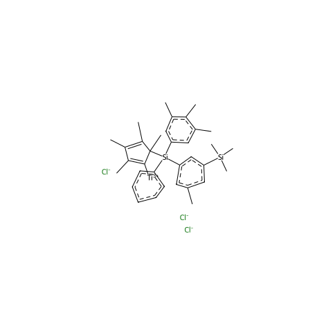 CC1=C(C)C(C)([Si](c2ccccc2)(c2cc(C)cc([Si](C)(C)C)c2)c2cc(C)c(C)c(C)c2)[C]([Ti+3])=C1C.[Cl-].[Cl-].[Cl-]